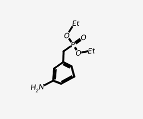 CCOP(=O)(Cc1cccc(N)c1)OCC